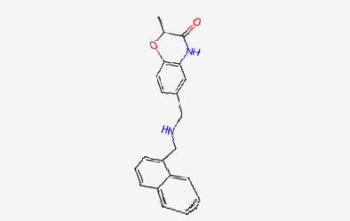 CC1Oc2ccc(CNCc3cccc4ccccc34)cc2NC1=O